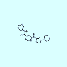 O=C(Nc1cncnc1)c1ccnc(Nc2cccc(-c3ccccc3)c2)n1